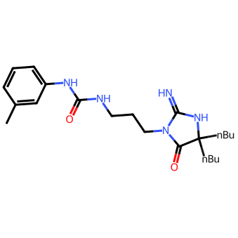 CCCCC1(CCCC)NC(=N)N(CCCNC(=O)Nc2cccc(C)c2)C1=O